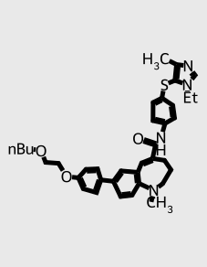 CCCCOCCOc1ccc(-c2ccc3c(c2)/C=C(/C(=O)Nc2ccc(Sc4c(C)ncn4CC)cc2)CCCN3C)cc1